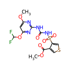 COC(=O)c1cscc1S(=O)(=O)NC(=O)Nc1nc(OC)cc(OC(F)F)n1